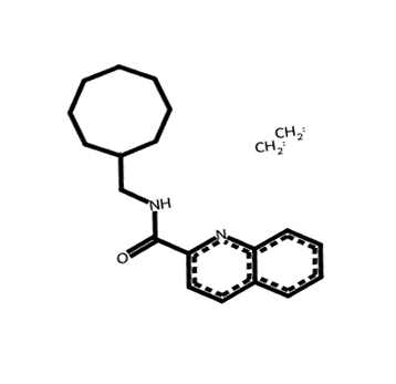 O=C(NC[C]1CCCCCCC1)c1ccc2ccccc2n1.[CH2].[CH2]